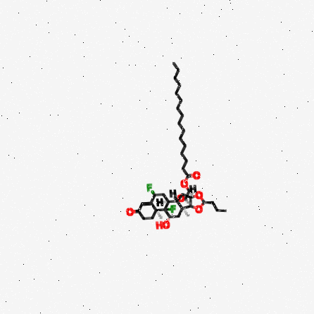 CCCCCCCCCCCCCCCC(=O)OCC(=O)[C@@]12O[C@H](CCC)O[C@@H]1C[C@H]1[C@@H]3C[C@H](F)C4=CC(=O)CC[C@]4(C)[C@@]3(F)[C@@H](O)C[C@@]12C